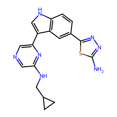 Nc1nnc(-c2ccc3[nH]cc(-c4cncc(NCC5CC5)n4)c3c2)s1